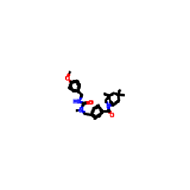 COc1ccc(CNC(=O)N(C)Cc2ccc(C(=O)N3CC4(C)CC3CC(C)(C)C4)cc2)cc1